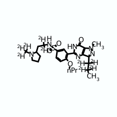 [2H]C([2H])(CC1CCCN1C([2H])([2H])[2H])NS(=O)(=O)c1ccc(OCCC)c(-c2nc3c(C([2H])([2H])C([2H])([2H])C)nn(C)c3c(=O)[nH]2)c1